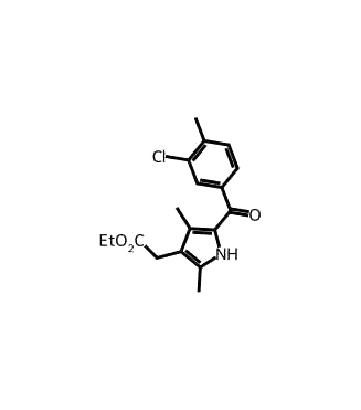 CCOC(=O)Cc1c(C)[nH]c(C(=O)c2ccc(C)c(Cl)c2)c1C